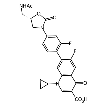 CC(=O)NC[C@H]1CN(c2ccc(-c3cc4c(cc3F)c(=O)c(C(=O)O)cn4C3CC3)c(F)c2)C(=O)O1